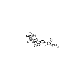 Cn1cc(F)c(-c2ccc(-c3ncc(N(C4CC4)[C@@H]4C[C@H]5CC[C@@H](C4)N5)nn3)c(O)c2)cc1=O